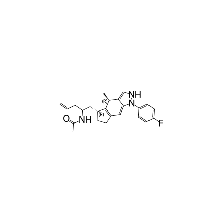 C=CCC(C[C@H]1CCC2=C1[C@@H](C)C1=CNN(c3ccc(F)cc3)C1=C2)NC(C)=O